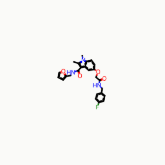 Cc1c(C(=O)NCc2ccco2)c2cc(OCC(=O)NCc3ccc(F)cc3)ccc2n1C